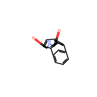 O=C1NC(=O)c2c3ccc1c2c1cccc3c1